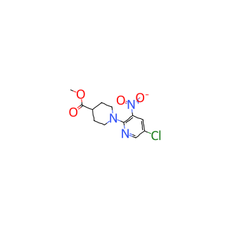 COC(=O)C1CCN(c2ncc(Cl)cc2[N+](=O)[O-])CC1